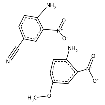 COc1ccc(N)c([N+](=O)[O-])c1.N#Cc1ccc(N)c([N+](=O)[O-])c1